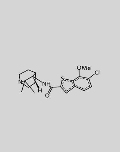 COc1c(Cl)ccc2cc(C(=O)N[C@H]3C4CCN(CC4)C3(C)C)sc12